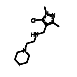 Cc1nn(C)c(Cl)c1CNCCN1CC[CH]CC1